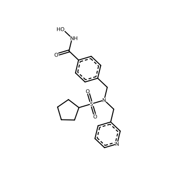 O=C(NO)c1ccc(CN(Cc2cccnc2)S(=O)(=O)C2CCCC2)cc1